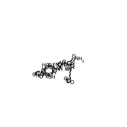 CC(C)C(NCCCCCN1C(=O)C=CC1=O)C(=O)NC(CCCNC(N)=O)C(=O)Nc1ncnc2c1ncn2[C@@H]1O[C@@H]2COP(=O)(S)O[C@H]3[C@@H](F)[C@H](n4ccc(=O)[nH]c4=O)O[C@@H]3COP(=O)(O)O[C@H]2[C@H]1F